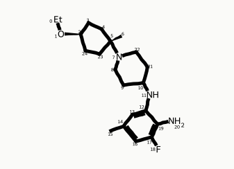 CCO[C@H]1CC[C@](C)(N2CCC(Nc3cc(C)cc(F)c3N)CC2)CC1